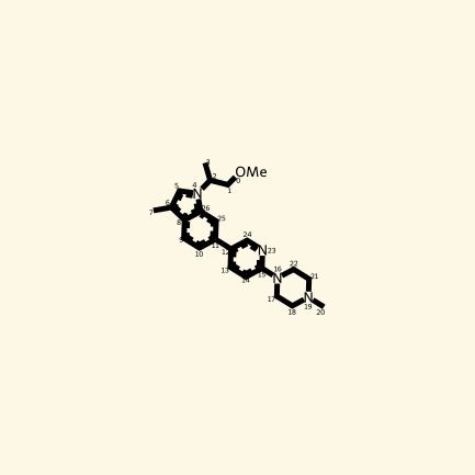 COCC(C)n1cc(C)c2ccc(-c3ccc(N4CCN(C)CC4)nc3)cc21